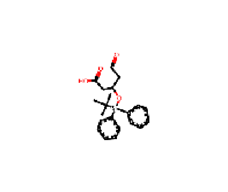 CC(C)(C)[Si](OC(CC=O)CC(=O)O)(c1ccccc1)c1ccccc1